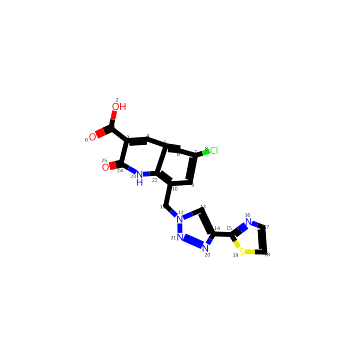 O=C(O)c1cc2cc(Cl)cc(Cn3cc(-c4nccs4)nn3)c2[nH]c1=O